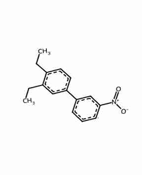 CCc1ccc(-c2cc[c]c([N+](=O)[O-])c2)cc1CC